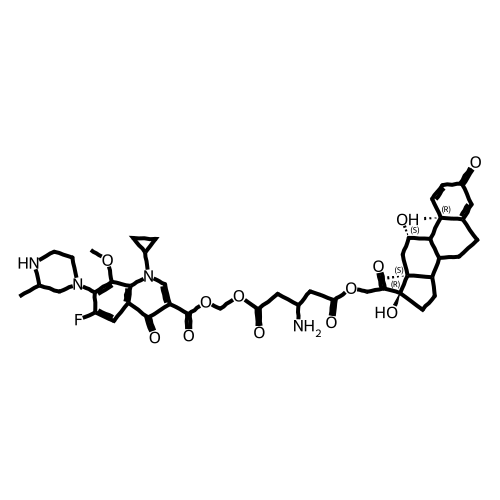 COc1c(N2CCNC(C)C2)c(F)cc2c(=O)c(C(=O)OCOC(=O)CC(N)CC(=O)OCC(=O)[C@@]3(O)CCC4C5CCC6=CC(=O)C=C[C@]6(C)C5[C@@H](O)C[C@@]43C)cn(C3CC3)c12